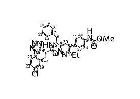 CCc1nnc(C(Cc2ccccc2)NC(=O)C=Cc2cc(Cl)ccc2-n2cnnn2)cc1-c1ccc(NC(=O)OC)cc1